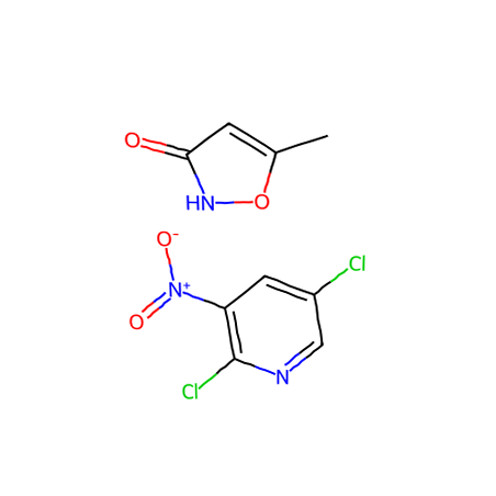 Cc1cc(=O)[nH]o1.O=[N+]([O-])c1cc(Cl)cnc1Cl